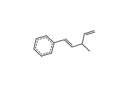 [CH2]C(C=C)C=Cc1ccccc1